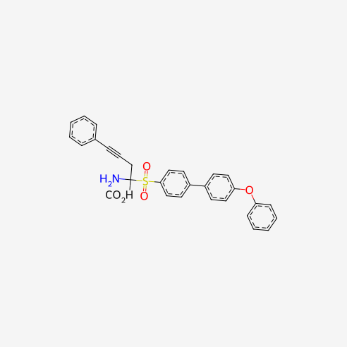 NC(CC#Cc1ccccc1)(C(=O)O)S(=O)(=O)c1ccc(-c2ccc(Oc3ccccc3)cc2)cc1